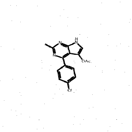 CC(=O)Oc1c[nH]c2nc(C)nc(-c3ccc(Cl)cc3)c12